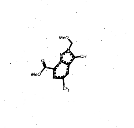 COCn1nc2c(C(=O)OC)cc(C(F)(F)F)cc2c1O